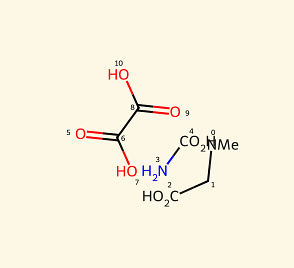 CNCC(=O)O.NC(=O)O.O=C(O)C(=O)O